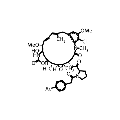 COc1cc2cc(c1Cl)N(C)C(=O)C[C@H](OC(=O)C1CCCN1C(=O)Cc1ccc(C(C)=O)cc1)[C@]1(C)O[C@H]1[C@H](C)[C@@H]1C[C@@](O)(NC(=O)O1)[C@H](OC)/C=C/C=C(\C)C2